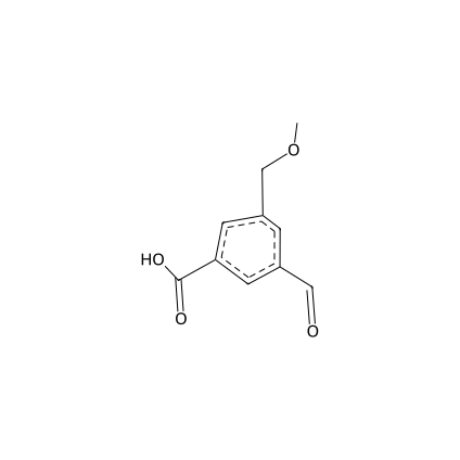 COCc1cc(C=O)cc(C(=O)O)c1